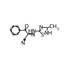 CC1N=C(N/N=C(/C#N)C(=O)c2ccccc2)SN1